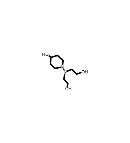 OCCN(CCO)N1CCC(O)CC1